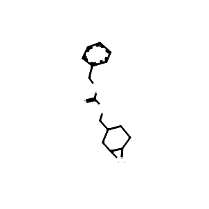 O=C(OCc1ccccc1)OCC1CCC2OC2C1